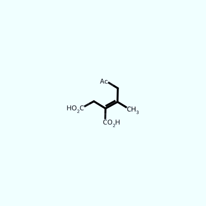 CC(=O)CC(C)=C(CC(=O)O)C(=O)O